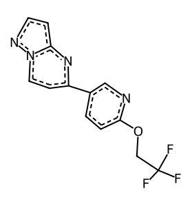 FC(F)(F)COc1ccc(-c2ccn3nccc3n2)cn1